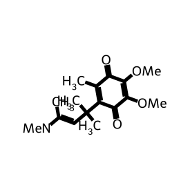 CN/C(C)=C/C(C)(C)C1=C(C)C(=O)C(OC)=C(OC)C1=O